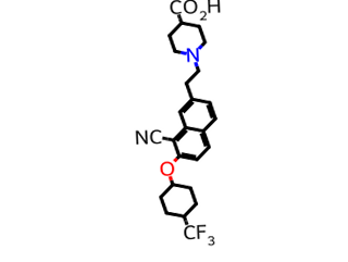 N#Cc1c(OC2CCC(C(F)(F)F)CC2)ccc2ccc(CCN3CCC(C(=O)O)CC3)cc12